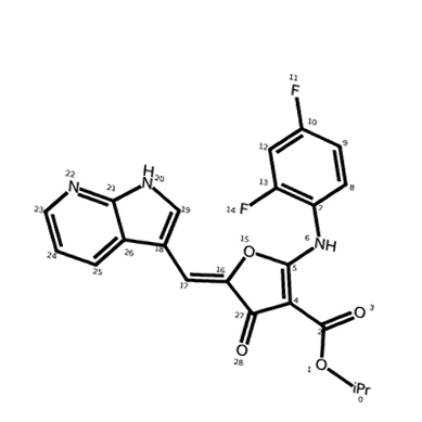 CC(C)OC(=O)C1=C(Nc2ccc(F)cc2F)O/C(=C\c2c[nH]c3ncccc23)C1=O